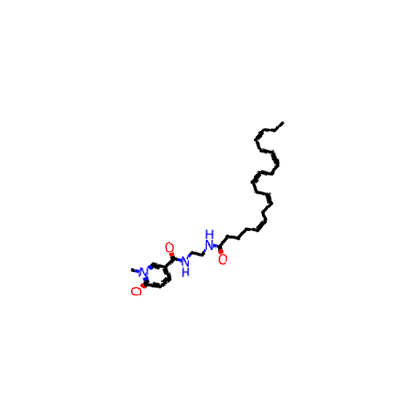 CC/C=C\C/C=C\C/C=C\C/C=C\C/C=C\CCCC(=O)NCCNC(=O)c1ccc(=O)n(C)c1